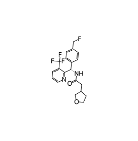 O=C(CC1CCOC1)N[C@@H](c1ccc(CF)cc1)c1ncccc1C(F)(F)F